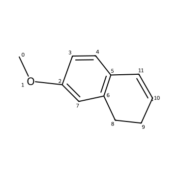 COc1ccc2c(c1)CC[C]=C2